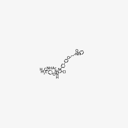 CC(=O)NC(C)(C)C1=CCC(Oc2nc3nc(C4=CCC(c5ccc(OCCCCNC(=O)c6ccccc6)cc5)C=C4)c(Cl)cc3[nH]2)C=C1